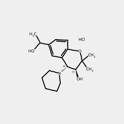 CC(O)c1ccc2c(c1)[C@@H](N1CCCCC1)[C@H](O)C(C)(C)O2.Cl